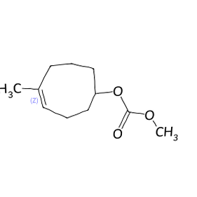 COC(=O)OC1CC/C=C(/C)CCC1